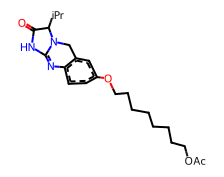 CC(=O)OCCCCCCCCOc1ccc2c(c1)CN1C(=N2)NC(=O)C1C(C)C